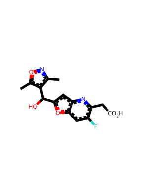 Cc1noc(C)c1C(O)c1cc2nc(CC(=O)O)c(F)cc2o1